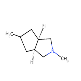 CC1C[C@@H]2CN(C)C[C@@H]2C1